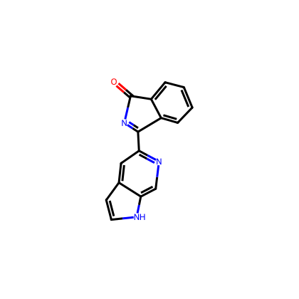 O=C1N=C(c2cc3cc[nH]c3cn2)c2ccccc21